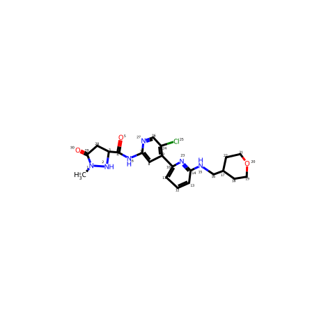 CN1NC(C(=O)Nc2cc(-c3cccc(NCC4CCOCC4)n3)c(Cl)cn2)CC1=O